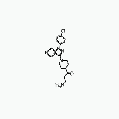 NCCC(=O)C1CCN(c2nn(-c3ccc(Cl)cc3)c3cnccc23)CC1